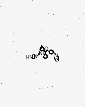 c1ccc(-c2c(-c3ccc(CN4CCOCC4)cc3)oc3nccc(NCCN4CCNCC4)c23)cc1